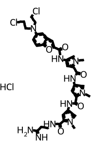 Cl.Cn1cc(NC(=O)c2cc(NC(=O)c3cc(NC(=O)c4cc5cc(N(CCCl)CCCl)ccc5o4)cn3C)cn2C)cc1C(=O)NCCC(=N)N